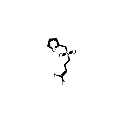 O=S(=O)(CCC=C(F)F)Cc1ccco1